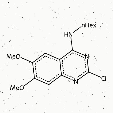 CCCCCCNc1nc(Cl)nc2cc(OC)c(OC)cc12